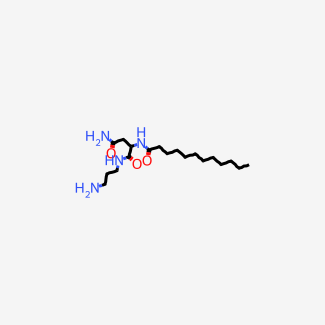 CCCCCCCCCCCC(=O)NC(CC(N)=O)C(=O)NCCCN